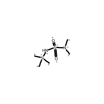 CN(C)S(=O)(=O)N[Si](C)(C)C